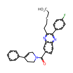 O=C(O)CCCCc1nc2cc(C(=O)N3CC=C(c4ccccc4)CC3)ccc2nc1-c1ccc(F)cc1